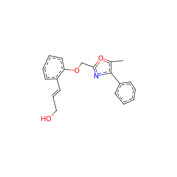 Cc1oc(COc2ccccc2/C=C/CO)nc1-c1ccccc1